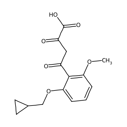 COc1cccc(OCC2CC2)c1C(=O)CC(=O)C(=O)O